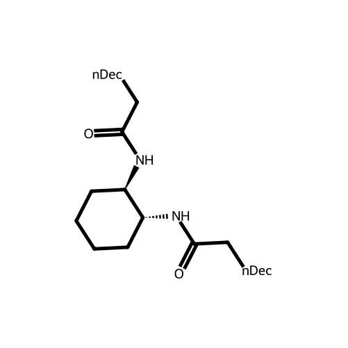 CCCCCCCCCCCC(=O)N[C@@H]1CCCC[C@H]1NC(=O)CCCCCCCCCCC